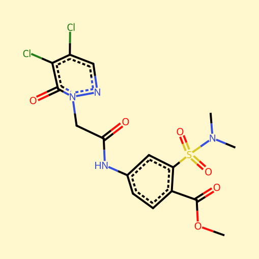 COC(=O)c1ccc(NC(=O)Cn2ncc(Cl)c(Cl)c2=O)cc1S(=O)(=O)N(C)C